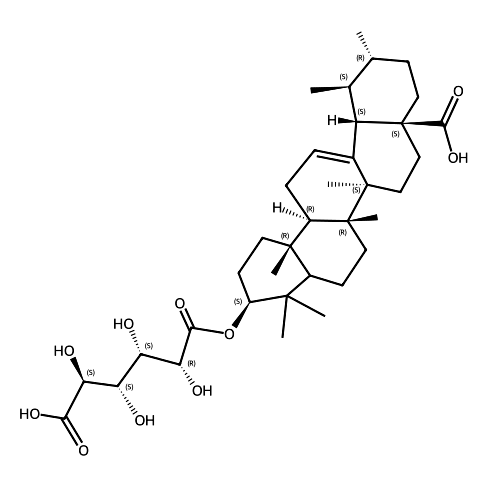 C[C@H]1[C@H](C)CC[C@]2(C(=O)O)CC[C@]3(C)C(=CC[C@@H]4[C@@]5(C)CC[C@H](OC(=O)[C@H](O)[C@@H](O)[C@H](O)[C@H](O)C(=O)O)C(C)(C)C5CC[C@]43C)[C@H]12